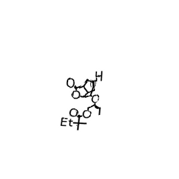 CC=C(COC(=O)C(C)(C)CC)OC1C2OC(=O)C3C[C@@H]1CC32